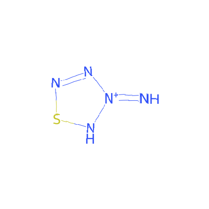 N=[N+]1N=NSN1